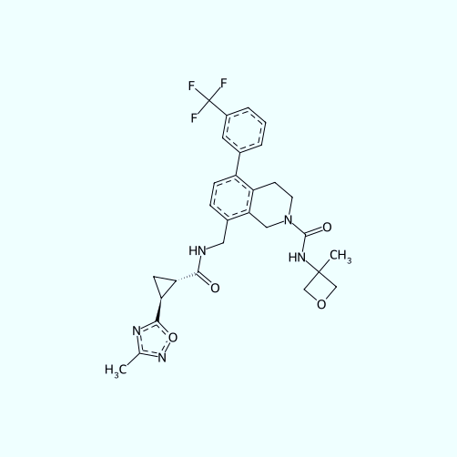 Cc1noc([C@H]2C[C@@H]2C(=O)NCc2ccc(-c3cccc(C(F)(F)F)c3)c3c2CN(C(=O)NC2(C)COC2)CC3)n1